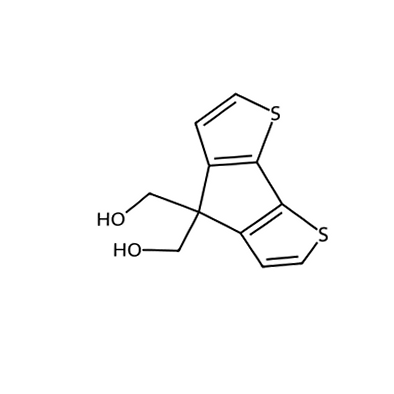 OCC1(CO)c2ccsc2-c2sccc21